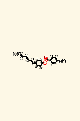 CCCc1ccc(C(=O)OC2CCC(CCC=CC=CC#N)CC2)cc1